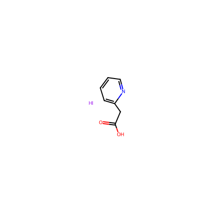 I.O=C(O)Cc1ccccn1